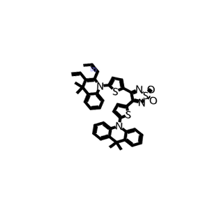 C=CC1=C(/C=C\C)N(c2ccc(C3=NS(=O)(=O)N=C3c3ccc(N4c5ccccc5C(C)(C)c5ccccc54)s3)s2)c2ccccc2C1(C)C